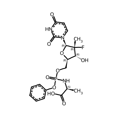 C[C@H](NP(=O)(OC[C@H]1O[C@@H](n2ccc(=O)[nH]c2=O)[C@](C)(F)[C@@H]1O)Oc1ccccc1)C(=O)O